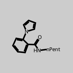 CCCCCNC(=O)c1ccccc1-n1cccc1